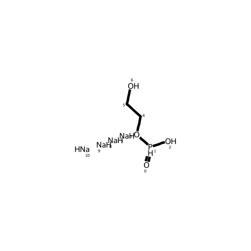 O=[PH](O)OCCO.[NaH].[NaH].[NaH].[NaH]